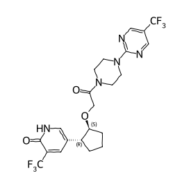 O=C(CO[C@H]1CCC[C@@H]1c1c[nH]c(=O)c(C(F)(F)F)c1)N1CCN(c2ncc(C(F)(F)F)cn2)CC1